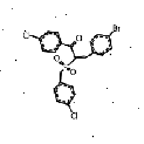 O=C(/C(=C\c1ccc(Br)cc1)S(=O)(=O)Cc1ccc(Cl)cc1)c1ccc(Cl)cc1